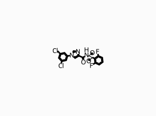 O=C(NS(=O)(=O)c1c(F)cccc1F)c1cn(-c2cc(Cl)cc(Cl)c2)cn1